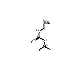 CCCCC[N]C(=O)SN(C)C